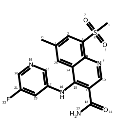 Cc1cc(S(C)(=O)=O)c2ncc(C(N)=O)c(Nc3cncc(F)c3)c2c1